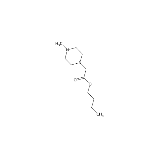 CCCCOC(=O)CN1CCN(C)CC1